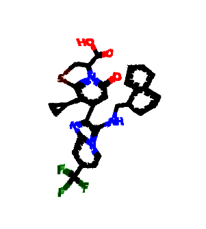 O=C(O)C1CSc2c(C3CC3)c(-c3nc4cc(C(F)(F)F)ccn4c3NCc3cccc4ccccc34)cc(=O)n21